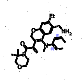 C=C(C(=O)N1CCOCC1(C)C)C1=C(N(C)C(/C=C\C)=C/C)c2cc(CN)c(CC)cc2OC1